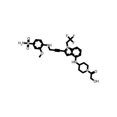 COc1cc(S(N)(=O)=O)ccc1NCC#Cc1cc2c(NC3CCN(C(=O)CO)CC3)cccc2n1CC(F)(F)F